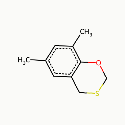 Cc1cc(C)c2c(c1)CSCO2